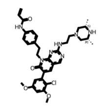 C=CC(=O)Nc1ccc(CCn2c(=O)c(-c3cc(OC)cc(OC)c3Cl)cc3cnc(NCCN4C[C@@H](C)N[C@@H](C)C4)nc32)cc1